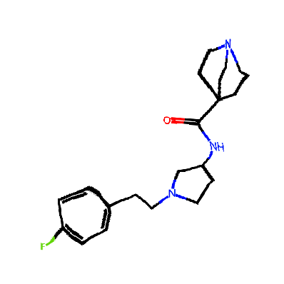 O=C(NC1CCN(CCc2ccc(F)cc2)C1)C12CCN(CC1)CC2